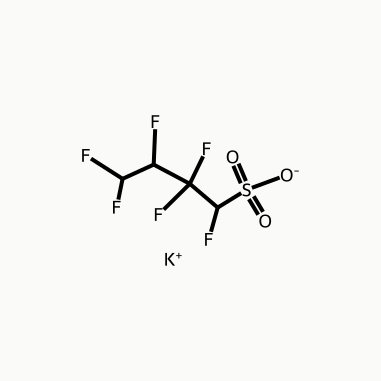 O=S(=O)([O-])C(F)C(F)(F)C(F)C(F)F.[K+]